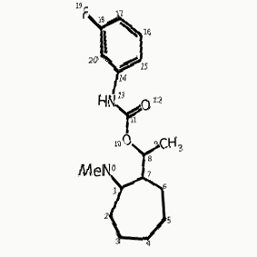 CNC1CCCCCC1C(C)OC(=O)Nc1cccc(F)c1